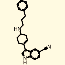 N#Cc1ccc2[nH]cc(C3=CCC(NCCCc4ccccc4)CC3)c2c1